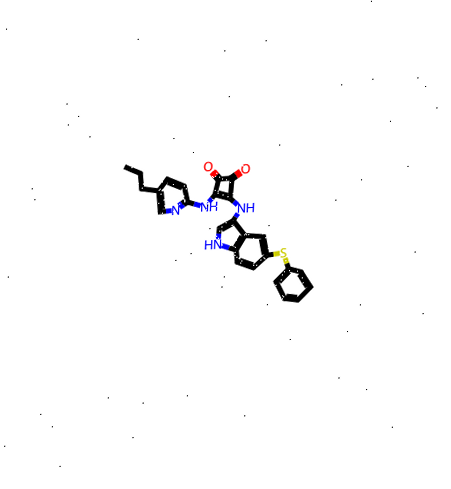 CCCc1ccc(Nc2c(Nc3c[nH]c4ccc(Sc5ccccc5)cc34)c(=O)c2=O)nc1